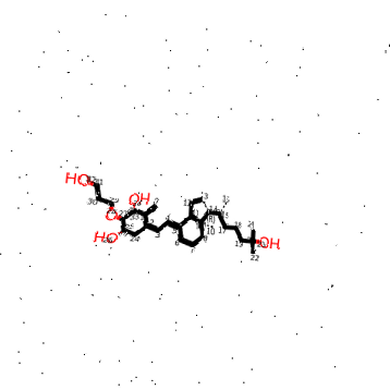 C=C1C(=CC=C2CCC[C@@]3(C)C2CC[C@@H]3[C@H](C)CCCC(C)(C)O)C[C@@H](O)C(OCCCO)[C@@H]1O